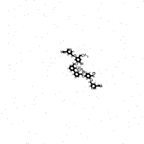 C=Cc1cc(Br)c(OCc2cccc(-c3cccc(COc4cc(OCc5cncc(C#N)c5)c(C=O)cc4Br)c3C)c2C)cc1OCc1cncc(C#N)c1